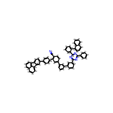 N#Cc1ccc(-c2cccc(-c3cccc(-c4nc(-c5ccccc5)nc(-c5ccccc5-c5cccc6ccccc56)n4)c3)c2)cc1-c1ccc(-c2ccc3c(c2)-c2cccc4cccc-3c24)cc1